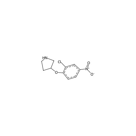 O=[N+]([O-])c1ccc(OC2CCNC2)c(Cl)c1